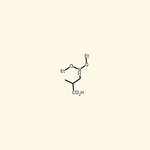 CCO[SiH](CC(C)C(=O)O)OCC